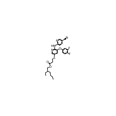 CCCCC(CC)COC(=O)CCSc1cnc(Nc2ccc(C#N)cn2)c(Oc2ccc(F)c(F)c2)c1